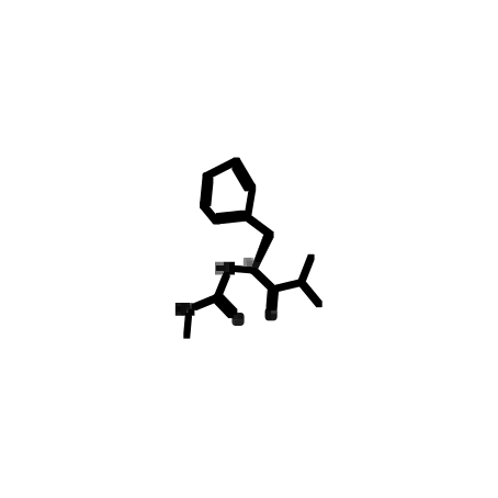 CNC(=O)N[C@@H](Cc1ccccc1)C(=O)C(C)C